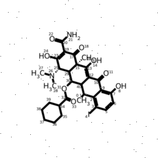 CC1c2c(I)ccc(O)c2C(=O)C2=C(O)[C@]3(C)C(=O)C(C(N)=O)=C(O)[C@@H](N(C)C)C3C(OC(=O)C3CCCCC3)C21